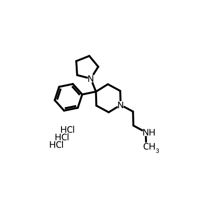 CNCCN1CCC(c2ccccc2)(N2CCCC2)CC1.Cl.Cl.Cl